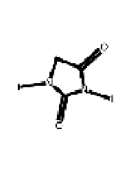 O=C1CN(I)C(=O)N1I